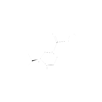 CC(C)(C)OC(=O)N1CCN[C@@H](C(F)F)C1